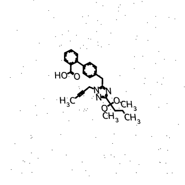 CC#CCn1nc(C(CCC)(OC)OC)nc1Cc1ccc(-c2ccccc2C(=O)O)cc1